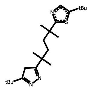 CC(C)(C)C1=NN=C(C(C)(C)CCC(C)(C)c2ncc(C(C)(C)C)s2)C1